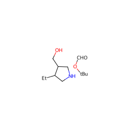 CC(C)(C)OC=O.CCC1CNCC1CO